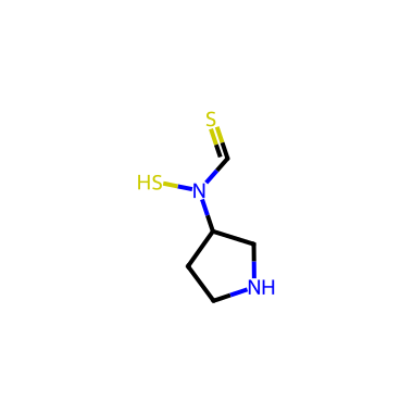 S=CN(S)C1CCNC1